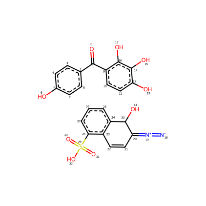 O=C(c1ccc(O)cc1)c1ccc(O)c(O)c1O.[N-]=[N+]=C1C=Cc2c(cccc2S(=O)(=O)O)C1O